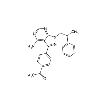 CC(=O)c1ccc(-c2nn(CC(C)c3ccccc3)c3ncnc(N)c23)cc1